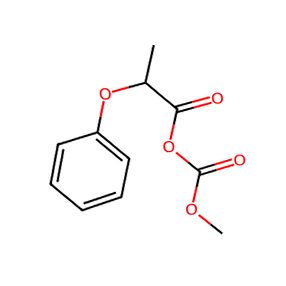 COC(=O)OC(=O)C(C)Oc1ccccc1